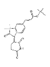 CC(C)(C)OC(=O)/C=C/c1ccc2c(c1)C(C)(C)C(=O)N2C1CCC(=O)NC1=O